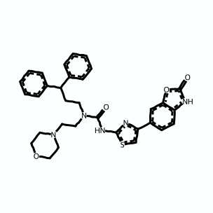 O=C(Nc1nc(-c2ccc3[nH]c(=O)oc3c2)cs1)N(CCC(c1ccccc1)c1ccccc1)CCN1CCOCC1